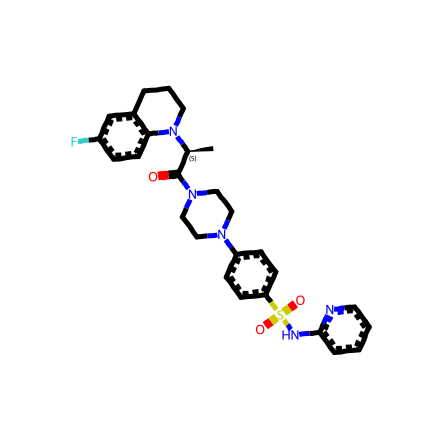 C[C@@H](C(=O)N1CCN(c2ccc(S(=O)(=O)Nc3ccccn3)cc2)CC1)N1CCCc2cc(F)ccc21